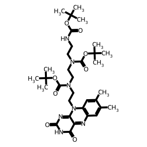 Cc1cc2nc3c(=O)[nH]c(=O)nc-3n(CCN(CCN(CCNC(=O)OC(C)(C)C)C(=O)OC(C)(C)C)C(=O)OC(C)(C)C)c2cc1C